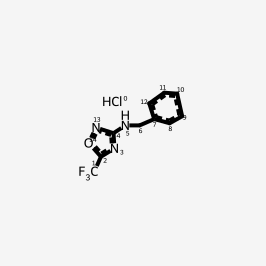 Cl.FC(F)(F)c1nc(NCc2ccccc2)no1